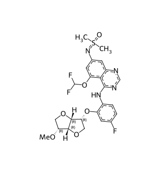 CO[C@@H]1CO[C@H]2[C@@H]1OC[C@H]2Oc1cc(F)ccc1Nc1ncnc2cc(N=S(C)(C)=O)cc(OC(F)F)c12